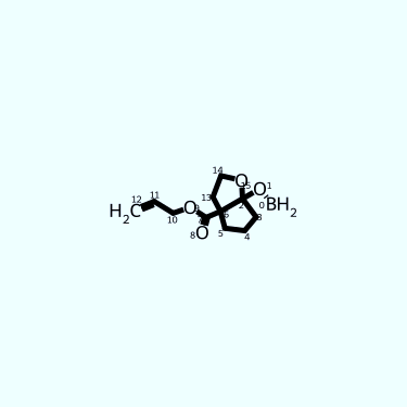 BOC12CCCC1(C(=O)OCC=C)CCO2